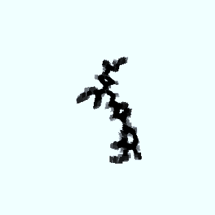 CCCCON1C(=O)N2C[C@@H]1CC[C@H]2c1cc(CCN(C(=O)OC(C)(C)C)C2CN(C(=O)OC(C)(C)C)C2)on1